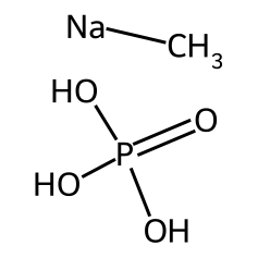 O=P(O)(O)O.[CH3][Na]